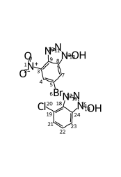 O=[N+]([O-])c1cc(Br)cc2c1nnn2O.On1nnc2c(Cl)cccc21